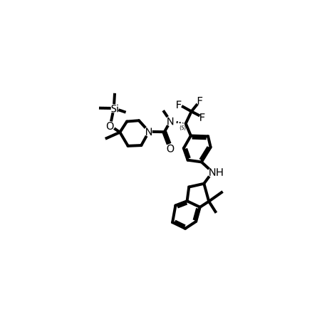 CN(C(=O)N1CCC(C)(O[Si](C)(C)C)CC1)[C@@H](c1ccc(NC2Cc3ccccc3C2(C)C)cc1)C(F)(F)F